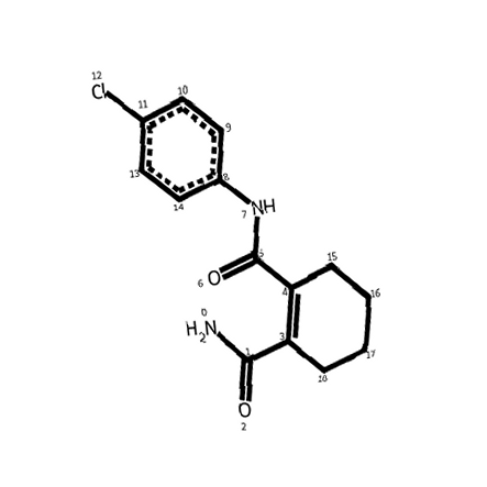 NC(=O)C1=C(C(=O)Nc2ccc(Cl)cc2)CCCC1